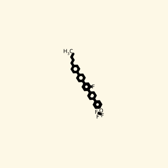 CCCCCC1CCC(C2CCC(c3ccc(C4=CCC(c5ccc(OC(F)(F)F)cc5)CC4)c(F)c3)CC2)CC1